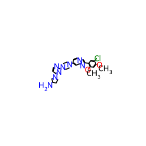 COc1cc(OC)c(-c2cn3ccc(N4CCN(c5nccc(N6CCC(N)C6)n5)CC4)cc3n2)cc1Cl